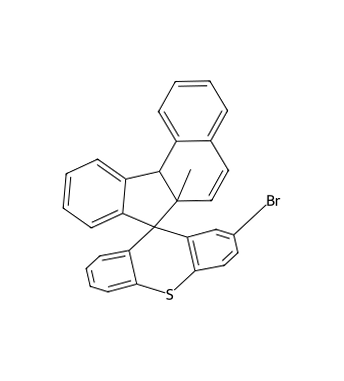 CC12C=Cc3ccccc3C1c1ccccc1C21c2ccccc2Sc2ccc(Br)cc21